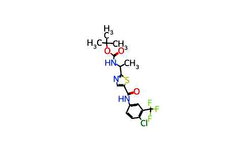 CC(NC(=O)OC(C)(C)C)c1ncc(C(=O)Nc2ccc(Cl)c(C(F)(F)F)c2)s1